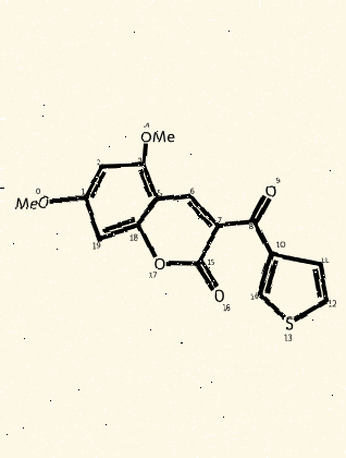 COc1cc(OC)c2cc(C(=O)c3ccsc3)c(=O)oc2c1